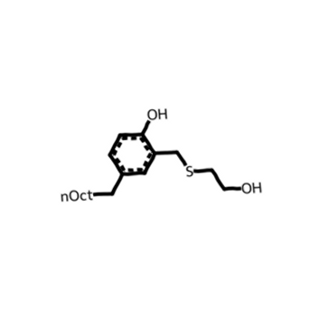 CCCCCCCCCc1ccc(O)c(CSCCO)c1